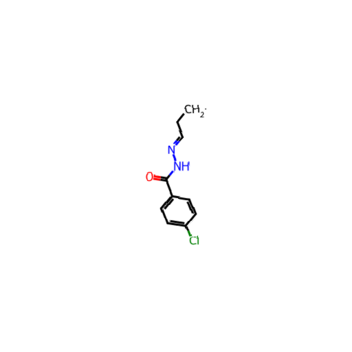 [CH2]CC=NNC(=O)c1ccc(Cl)cc1